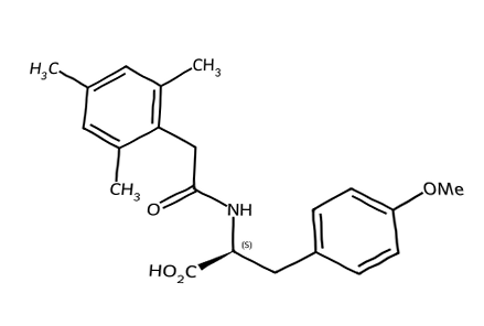 COc1ccc(C[C@H](NC(=O)Cc2c(C)cc(C)cc2C)C(=O)O)cc1